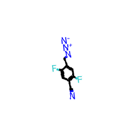 N#Cc1cc(F)c(CN=[N+]=[N-])cc1F